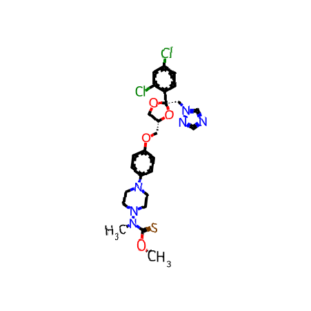 COC(=S)N(C)N1CCN(c2ccc(OC[C@@H]3CO[C@@](Cn4cncn4)(c4ccc(Cl)cc4Cl)O3)cc2)CC1